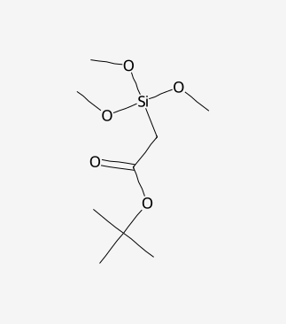 CO[Si](CC(=O)OC(C)(C)C)(OC)OC